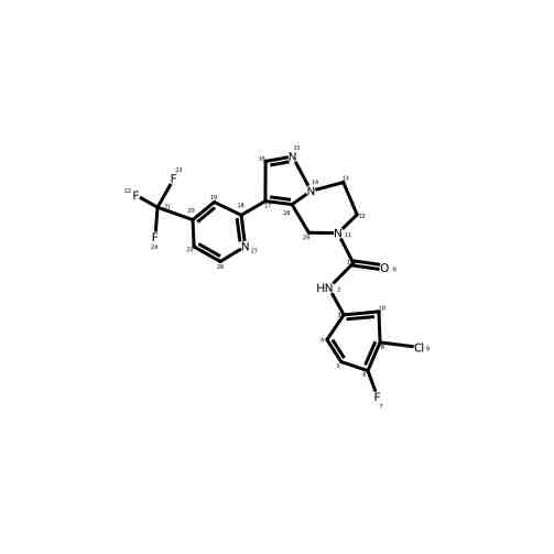 O=C(Nc1ccc(F)c(Cl)c1)N1CCn2ncc(-c3cc(C(F)(F)F)ccn3)c2C1